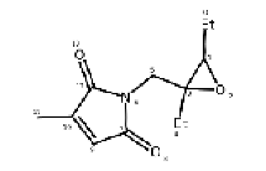 CCC1OC1(CC)CN1C(=O)C=C(C)C1=O